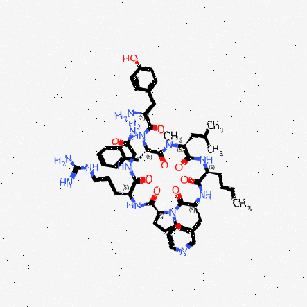 CCCC[C@H](NC(=O)[C@H](CC(C)C)N(C)C(=O)[C@H](Cc1ccccc1)NC(=O)[C@@H](N)Cc1ccc(O)cc1)C(=O)N[C@@H](Cc1cccnc1)C(=O)N1CCC[C@H]1C(=O)N[C@@H](CCCNC(=N)N)C(=O)NCC(N)=O